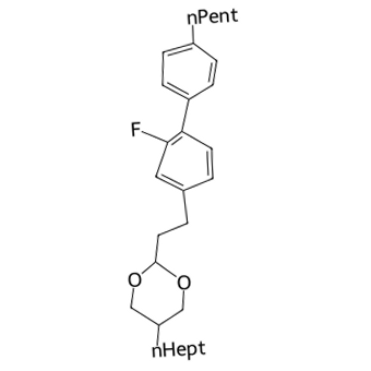 CCCCCCCC1COC(CCc2ccc(-c3ccc(CCCCC)cc3)c(F)c2)OC1